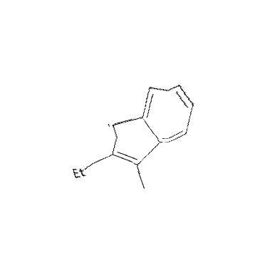 CCC1=C(C)c2ccccc2[CH]1